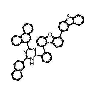 c1ccc(C2N=C(c3cc4ccccc4c4ccccc34)N=C(c3ccc4ccccc4c3)N2)c(-c2cccc3oc4c(-c5ccc6sc7ccccc7c6c5)cccc4c23)c1